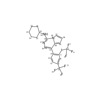 FC(F)(F)Cc1cc(C(F)(F)F)ccc1-c1nnc(NC2CCCCC2)n2cccc12